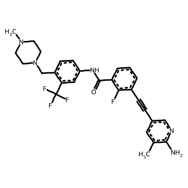 Cc1cc(C#Cc2cccc(C(=O)Nc3ccc(CN4CCN(C)CC4)c(C(F)(F)F)c3)c2F)cnc1N